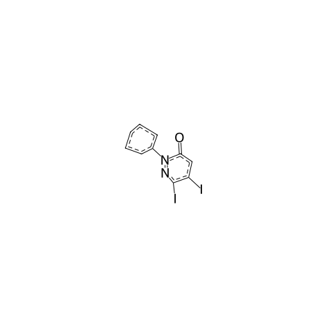 O=c1cc(I)c(I)nn1-c1ccccc1